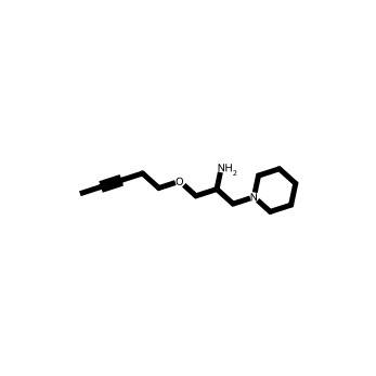 CC#CCCOCC(N)CN1CCCCC1